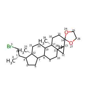 C[C@H](CBr)C1CCC2C3CCC45C[C@H]4C4(CC[C@]5(C)C3CC[C@@]21C)OCCO4